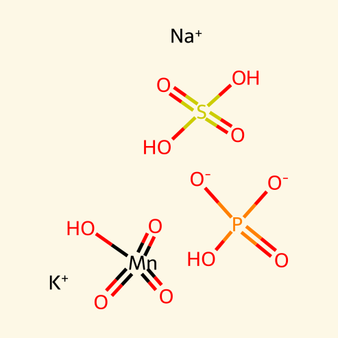 O=P([O-])([O-])O.O=S(=O)(O)O.[K+].[Na+].[O]=[Mn](=[O])(=[O])[OH]